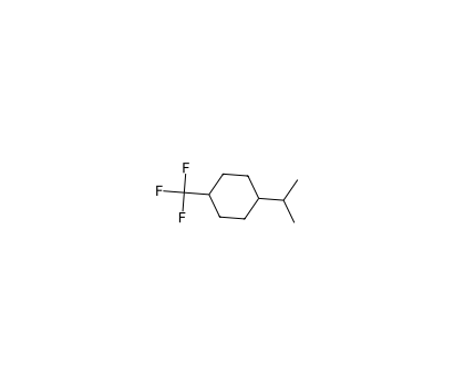 CC(C)C1CCC(C(F)(F)F)CC1